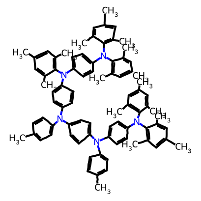 Cc1ccc(N(c2ccc(N(c3ccc(C)cc3)c3ccc(N(c4c(C)cc(C)cc4C)c4c(C)cc(C)cc4C)cc3)cc2)c2ccc(N(c3ccc(N(c4c(C)cc(C)cc4C)c4c(C)cc(C)cc4C)cc3)c3c(C)cc(C)cc3C)cc2)cc1